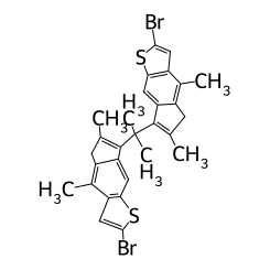 CC1=C(C(C)(C)C2=C(C)Cc3c2cc2sc(Br)cc2c3C)c2cc3sc(Br)cc3c(C)c2C1